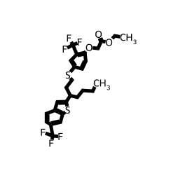 CCCCC(CCSc1ccc(OCC(=O)OCC)c(C(F)(F)F)c1)c1cc2ccc(C(F)(F)F)cc2s1